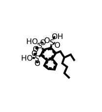 CCCCC(CC)Cc1c(S(=O)(=O)O)c(S(=O)(=O)O)c(S(=O)(=O)O)c2ccccc12